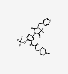 CN1CCN(CC(=O)Nc2cc(N3C(=O)N(Cc4ccncc4)C(C)(C)C3=O)ccc2OC(F)(F)F)CC1